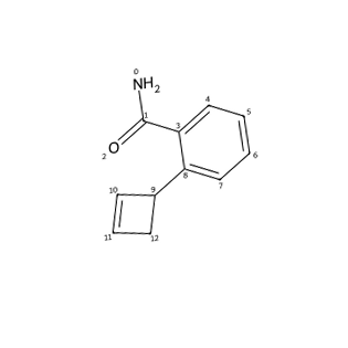 NC(=O)c1ccccc1C1C=CC1